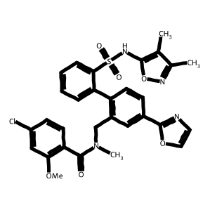 COc1cc(Cl)ccc1C(=O)N(C)Cc1cc(-c2ncco2)ccc1-c1ccccc1S(=O)(=O)Nc1onc(C)c1C